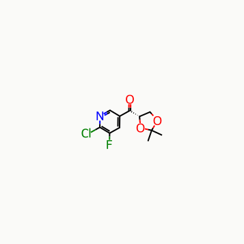 CC1(C)OC[C@@H](C(=O)c2cnc(Cl)c(F)c2)O1